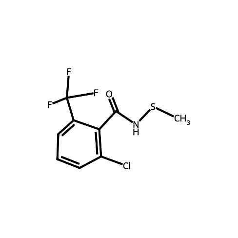 CSNC(=O)c1c(Cl)cccc1C(F)(F)F